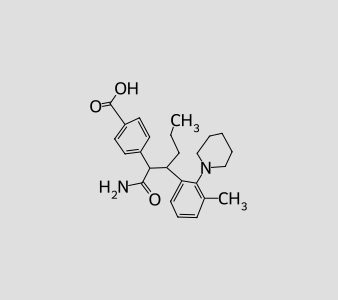 CCCC(c1cccc(C)c1N1CCCCC1)C(C(N)=O)c1ccc(C(=O)O)cc1